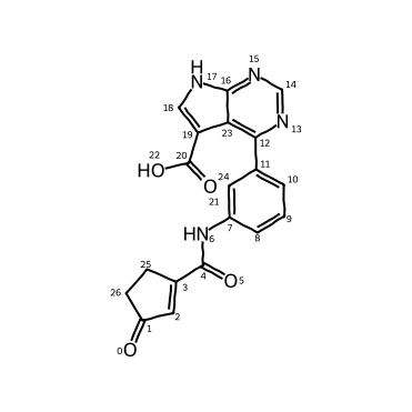 O=C1C=C(C(=O)Nc2cccc(-c3ncnc4[nH]cc(C(=O)O)c34)c2)CC1